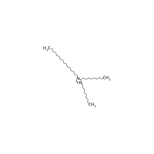 CCCCCCCCCCCCCCCCN1C=CN(CCCCCCCCC)C1CCCCCCCCC